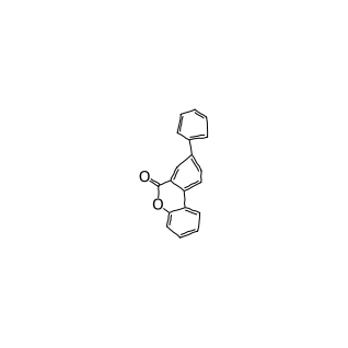 O=c1oc2ccccc2c2ccc(-c3ccccc3)cc12